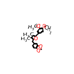 COc1ccc(-c2oc(Cc3ccc4c(c3)OCO4)c(C)c2C)cc1OC